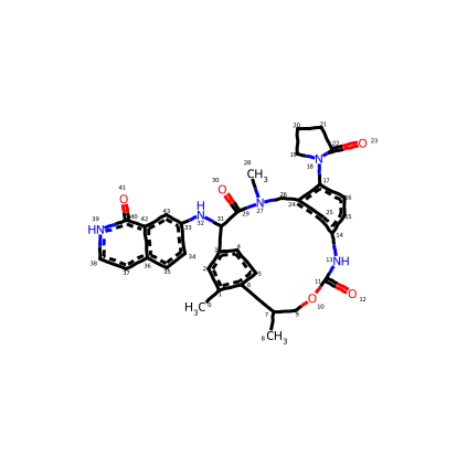 Cc1cc2ccc1C(C)COC(=O)Nc1ccc(N3CCCC3=O)c(c1)CN(C)C(=O)C2Nc1ccc2cc[nH]c(=O)c2c1